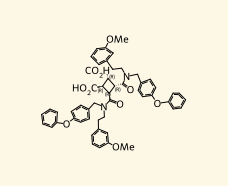 COc1cccc(CCN(Cc2ccc(Oc3ccccc3)cc2)C(=O)[C@H]2[C@@H](C(=O)O)[C@H](C(=O)O)[C@@H]2C(=O)N(CCc2cccc(OC)c2)Cc2ccc(Oc3ccccc3)cc2)c1